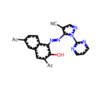 CC(=O)c1ccc2c(/N=N/c3c(C#N)cnn3-c3ncccn3)c(O)c(C(C)=O)cc2c1